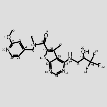 COc1cc(CN(C)C(=O)c2sc3ncnc(NCC(O)C(F)(F)F)c3c2C)ccn1